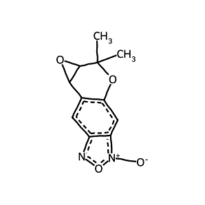 CC1(C)Oc2cc3c(cc2C2OC21)no[n+]3[O-]